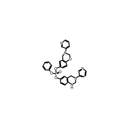 O=P(Oc1ccccc1)(Oc1ccc2c(c1)CN(c1cccnc1)CN2)Oc1ccc2c(c1)CN(c1cccnc1)CO2